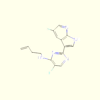 C=CCCNc1nc(-c2c[nH]c3ncc(F)cc23)ncc1F